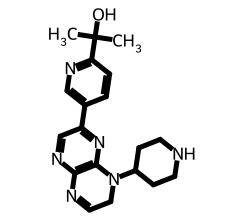 CC(C)(O)c1ccc(-c2cnc3c(n2)N(C2CCNCC2)CC=N3)cn1